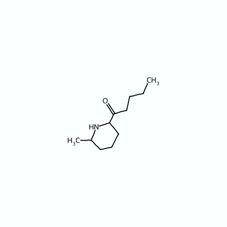 CCCCC(=O)C1CCCC(C)N1